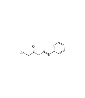 CC(=O)CC(=O)CN=Nc1ccccc1